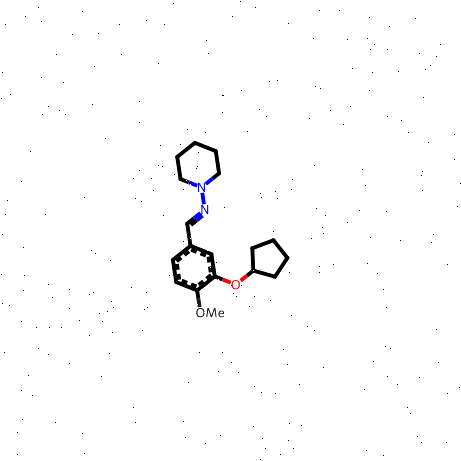 COc1ccc(/C=N/N2CCCCC2)cc1OC1CCCC1